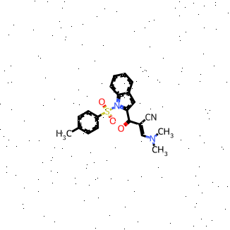 Cc1ccc(S(=O)(=O)n2c(C(=O)C(C#N)=CN(C)C)cc3ccccc32)cc1